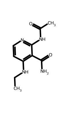 CCNc1ccnc(NC(C)=O)c1C(N)=O